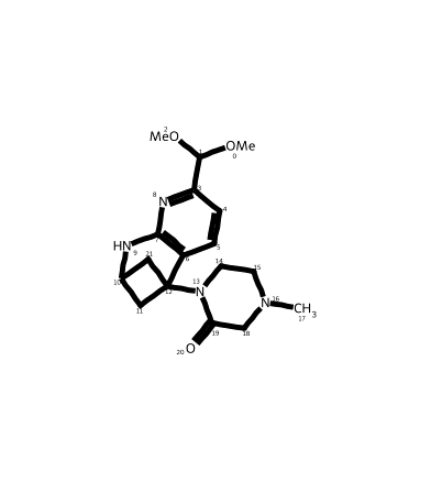 COC(OC)c1ccc2c(n1)NC1CC2(N2CCN(C)CC2=O)C1